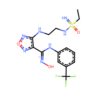 CCS(=N)(=O)NCCNc1nonc1/C(=N/O)Nc1cccc(C(F)(F)F)c1